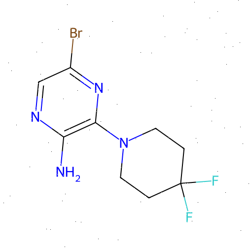 Nc1ncc(Br)nc1N1CCC(F)(F)CC1